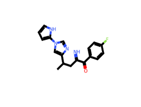 CC(CC(=N)C(=O)c1ccc(F)cc1)c1cn(-c2ccc[nH]2)cn1